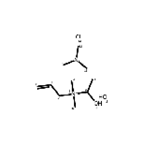 C=CC[N+](C)(C)C(C)O.CN(C)C.Cl.[Cl-]